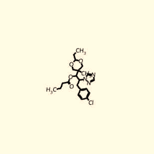 CCCC(=O)OC(C(Cc1ccc(Cl)cc1)n1cncn1)C1(C)COC(CC)OC1